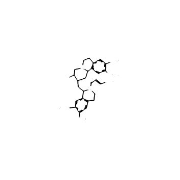 CCC1CN2CCc3cc(OC)c(OC)cc3C2CC1CC1c2cc(OC)c(OC)cc2CCN1C(=O)/C=C/C=O